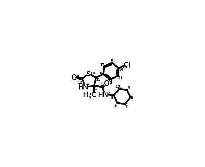 CC1(C(=O)NC2CCCCC2)NC(=O)SC1c1ccc(Cl)cc1